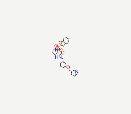 O=C(NCc1cccc(OCc2cccnc2)c1)[C@@H]1CCCN1S(=O)(=O)c1cc2ccccc2o1